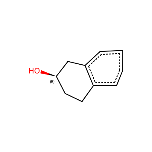 O[C@@H]1CCc2ccccc2C1